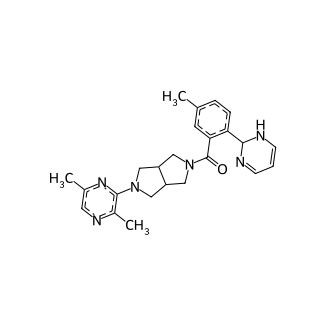 Cc1ccc(C2N=CC=CN2)c(C(=O)N2CC3CN(c4nc(C)cnc4C)CC3C2)c1